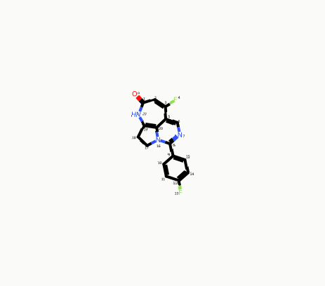 O=C1C=C(F)C2=CN=C(c3ccc(F)cc3)N3CCC(=C23)N1